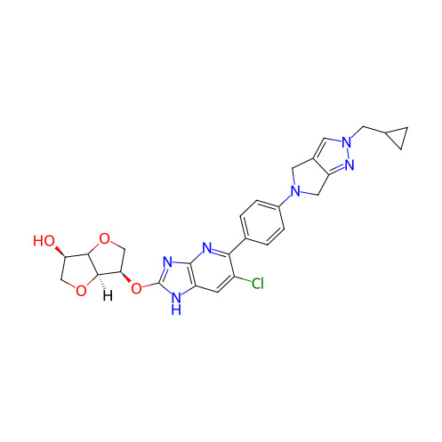 O[C@@H]1CO[C@H]2C1OC[C@H]2Oc1nc2nc(-c3ccc(N4Cc5cn(CC6CC6)nc5C4)cc3)c(Cl)cc2[nH]1